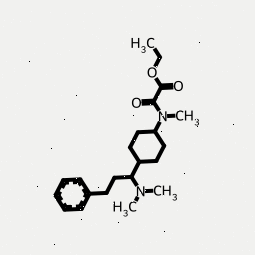 CCOC(=O)C(=O)N(C)C1CCC(C(CCc2ccccc2)N(C)C)CC1